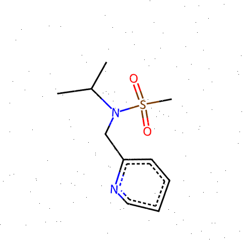 CC(C)N(Cc1ccccn1)S(C)(=O)=O